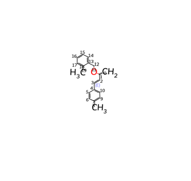 C=C(/C=C/c1ccc(C)cc1)OCc1ccccc1C